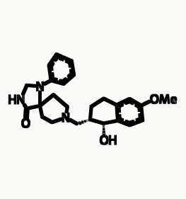 COc1ccc2c(c1)CC[C@@H](CN1CCC3(CC1)C(=O)NCN3c1ccccc1)[C@H]2O